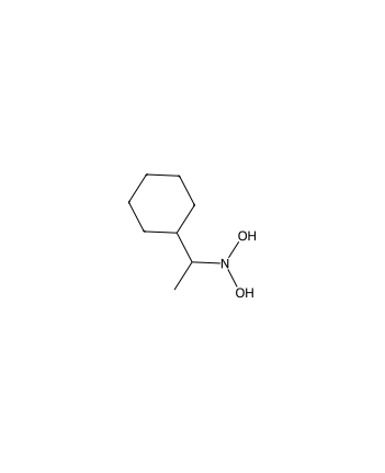 CC(C1CCCCC1)N(O)O